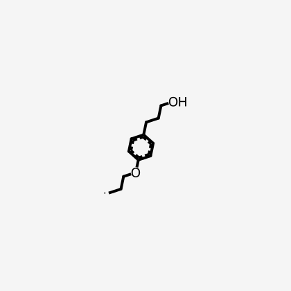 [CH2]CCOc1ccc(CCCO)cc1